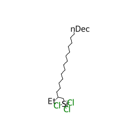 CCCCCCCCCCCCCCCCCCCCCCCCC(CC)C[Si](Cl)(Cl)Cl